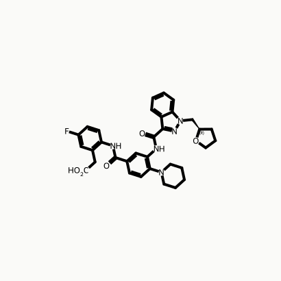 O=C(O)Cc1cc(F)ccc1NC(=O)c1ccc(N2CCCCC2)c(NC(=O)c2nn(C[C@H]3CCCO3)c3ccccc23)c1